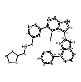 Fc1c(-c2cncc(CNCC3CCCC3)c2)ncc2[nH]nc(-c3nc4c(-c5ccncc5)nccc4[nH]3)c12